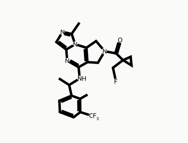 Cc1c(C(C)Nc2nc3cnc(C)n3c3c2CN(C(=O)C2(CF)CC2)C3)cccc1C(F)(F)F